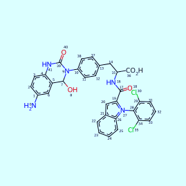 Nc1ccc2c(c1)C(O)N(c1ccc(CC(NC(=O)c3cc4ccccc4n3-c3c(Cl)cccc3Cl)C(=O)O)cc1)C(=O)N2